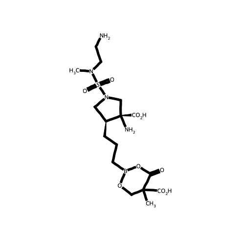 CN(CCN)S(=O)(=O)N1C[C@H](CCCB2OCC(C)(C(=O)O)C(=O)O2)[C@](N)(C(=O)O)C1